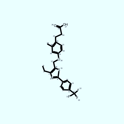 CCc1nc(-c2ccc(C(F)(F)F)cc2)sc1COc1ccc(CCC(=O)O)c(C)c1